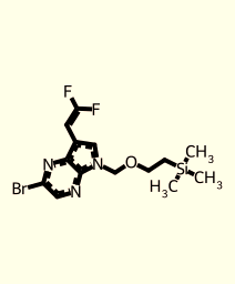 C[Si](C)(C)CCOCn1cc(C=C(F)F)c2nc(Br)cnc21